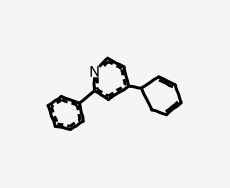 C1=CCC(c2ccnc(-c3ccccc3)c2)C=C1